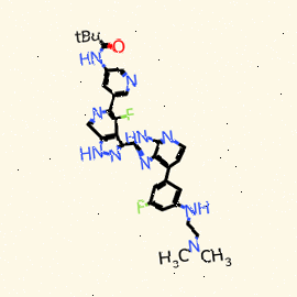 CN(C)CCNc1cc(F)cc(-c2ccnc3[nH]c(-c4n[nH]c5cnc(-c6cncc(NC(=O)C(C)(C)C)c6)c(F)c45)nc23)c1